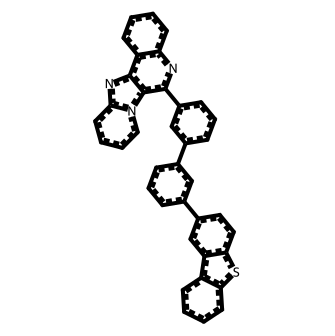 c1cc(-c2cccc(-c3nc4ccccc4c4nc5ccccn5c34)c2)cc(-c2ccc3sc4ccccc4c3c2)c1